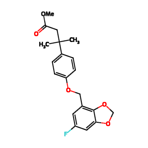 COC(=O)CC(C)(C)c1ccc(OCc2cc(F)cc3c2OCO3)cc1